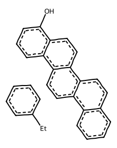 CCc1ccccc1.Oc1cccc2c1ccc1c2ccc2c3ccccc3ccc21